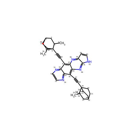 CC1CC2CCC1(C#Cc1c3nccnc3c(C#CC34CCC(CC3C)CC4C)c3nc4[nH]ccc4nc13)C(C)C2